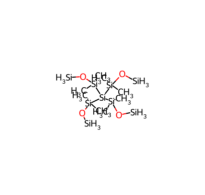 C[Si](C)(O[SiH3])[Si]([Si](C)(C)O[SiH3])([Si](C)(C)O[SiH3])[Si](C)(C)O[SiH3]